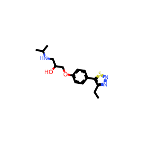 CCc1nnsc1-c1ccc(OCC(O)CNC(C)C)cc1